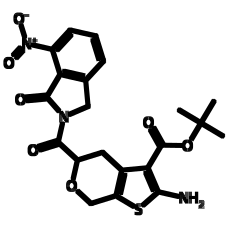 CC(C)(C)OC(=O)c1c(N)sc2c1CC(C(=O)N1Cc3cccc([N+](=O)[O-])c3C1=O)OC2